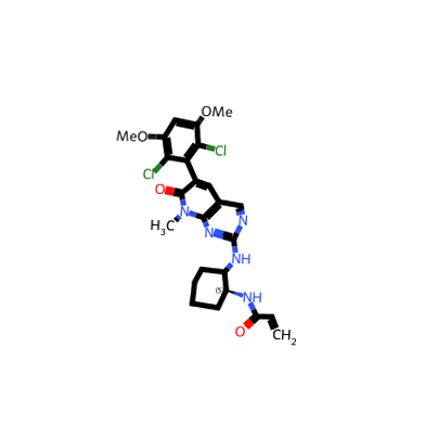 C=CC(=O)N[C@H]1CCCCC1Nc1ncc2cc(-c3c(Cl)c(OC)cc(OC)c3Cl)c(=O)n(C)c2n1